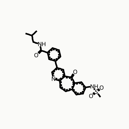 CC(C)CNC(=O)c1cccc(-c2cnc3ccc4ccc(NS(C)(=O)=O)cc4c(=O)c3c2)c1